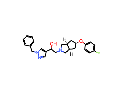 OC(CN1C[C@H]2C[C@H](Oc3ccc(F)cc3)C[C@H]2C1)c1cnn(Cc2ccccc2)c1